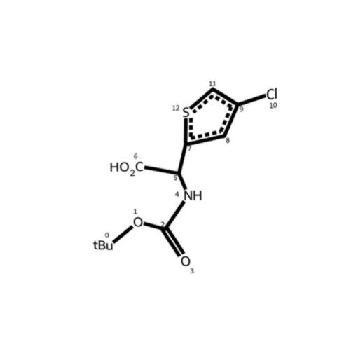 CC(C)(C)OC(=O)NC(C(=O)O)c1cc(Cl)cs1